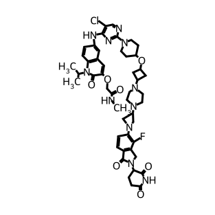 CNC(=O)COc1cc2cc(Nc3nc(N4CCC(OC5CC(N6CCN(C7CN(c8ccc9c(c8F)CN(C8CCC(=O)NC8=O)C9=O)C7)CC6)C5)CC4)ncc3Cl)ccc2n(C(C)C)c1=O